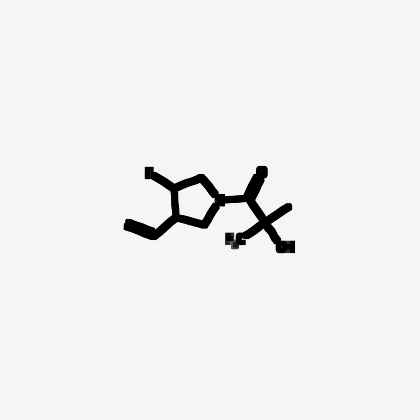 C=CC1CN(C(=O)C(C)(O)C(F)(F)F)CC1F